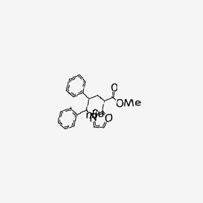 CCCCC(c1ccccc1)C(CC(C(=O)OC)c1ncco1)c1ccccc1